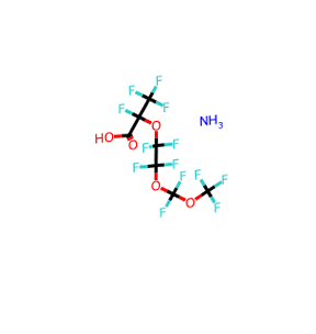 N.O=C(O)C(F)(OC(F)(F)C(F)(F)OC(F)(F)OC(F)(F)F)C(F)(F)F